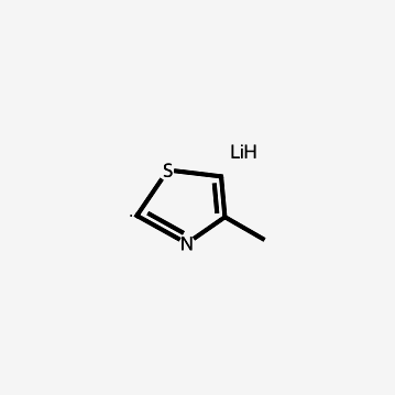 Cc1cs[c]n1.[LiH]